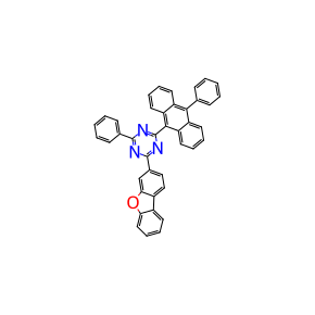 c1ccc(-c2nc(-c3ccc4c(c3)oc3ccccc34)nc(-c3c4ccccc4c(-c4ccccc4)c4ccccc34)n2)cc1